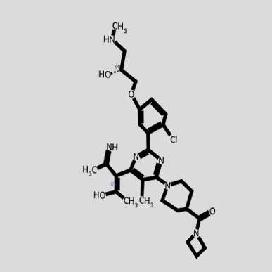 CNC[C@@H](O)COc1ccc(Cl)c(-c2nc(/C(C(C)=N)=C(\C)O)c(C)c(N3CCC(C(=O)N4CCC4)CC3)n2)c1